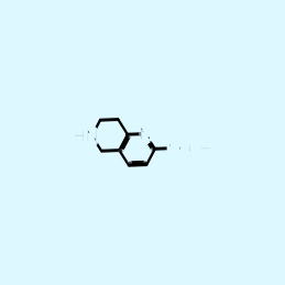 O=S(=O)(O)c1ccc2c(n1)CCNC2